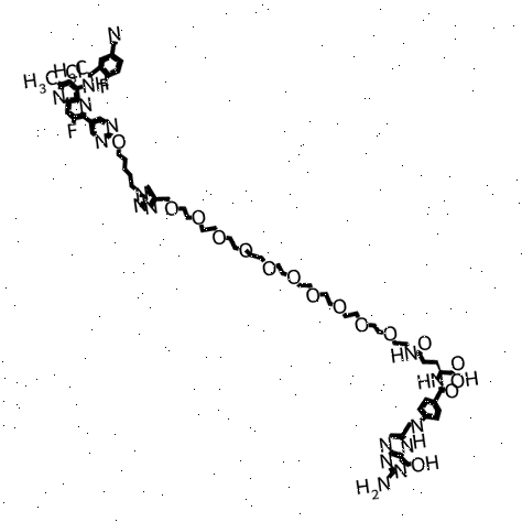 Cc1nc2cc(F)c(-c3cnc(OCCCCCn4cc(COCCOCCOCCOCCOCCOCCOCCOCCOCCOCCNC(=O)CC[C@H](NC(=O)c5ccc(NCc6cnc7nc(N)nc(O)c7n6)cc5)C(=O)O)nn4)nc3)nc2c(N[C@H](C)c2cc(C#N)ccc2F)c1Cl